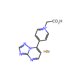 Br.O=C(O)C[n+]1ccc(-c2ccnc3ncnn23)cc1